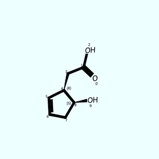 O=C(O)C[C@@H]1C=CC[C@@H]1O